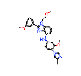 COCCn1c(-c2cccc(OC)c2)nc2c(Nc3ccc(-n4cnc(C)c4)c(OC)c3)cccc21